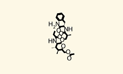 CCC(=O)N[C@@H]1C(OC[C@H](C)C(=O)N[C@@H](Cc2ccccc2)C(N)=O)OC(COC(C)=O)[C@@H](C)[C@@H]1C